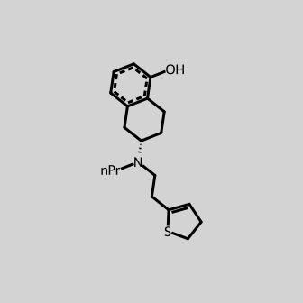 CCCN(CCC1=CCCS1)[C@H]1CCc2c(O)cccc2C1